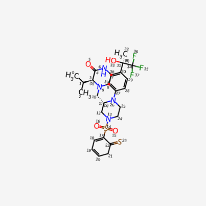 CC(C)[C@H]1C(=O)NCCN1C[C@H]1CN(S(=O)(=O)C2=CC=CCC2=S)CCN1c1ccc([C@@](C)(O)C(F)(F)F)cc1